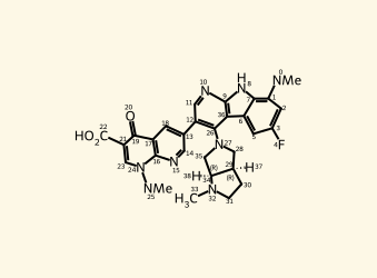 CNc1cc(F)cc2c1[nH]c1ncc(-c3cnc4c(c3)c(=O)c(C(=O)O)cn4NC)c(N3C[C@H]4CCN(C)[C@H]4C3)c12